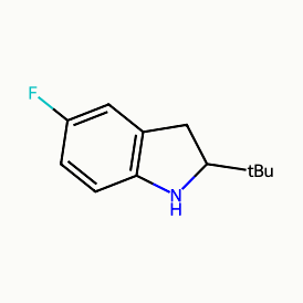 CC(C)(C)C1Cc2cc(F)ccc2N1